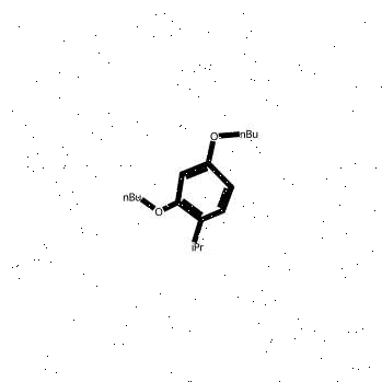 CCCCOc1ccc(C(C)C)c(OCCCC)c1